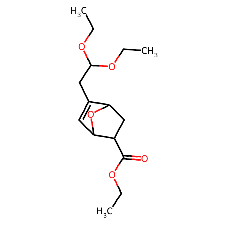 CCOC(=O)C1CC2OC1C=C2CC(OCC)OCC